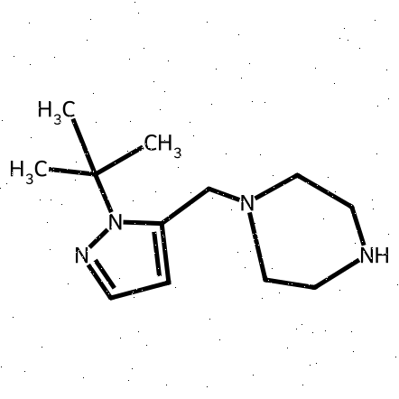 CC(C)(C)n1nccc1CN1CCNCC1